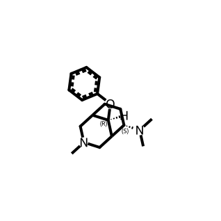 CN1CC2CC[C@H](N(C)C)C(C1)[C@@H]2Oc1ccccc1